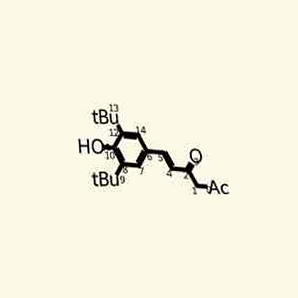 [CH2]C(=O)CC(=O)C=Cc1cc(C(C)(C)C)c(O)c(C(C)(C)C)c1